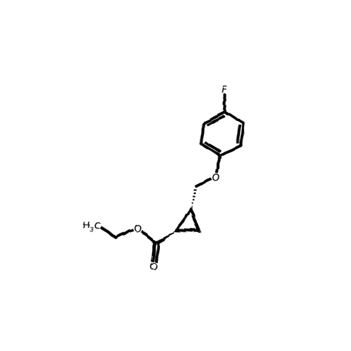 CCOC(=O)[C@@H]1C[C@H]1COc1ccc(F)cc1